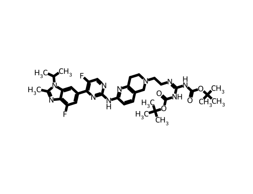 Cc1nc2c(F)cc(-c3nc(Nc4ccc5c(n4)CCN(CCN=C(NC(=O)OC(C)(C)C)NC(=O)OC(C)(C)C)C5)ncc3F)cc2n1C(C)C